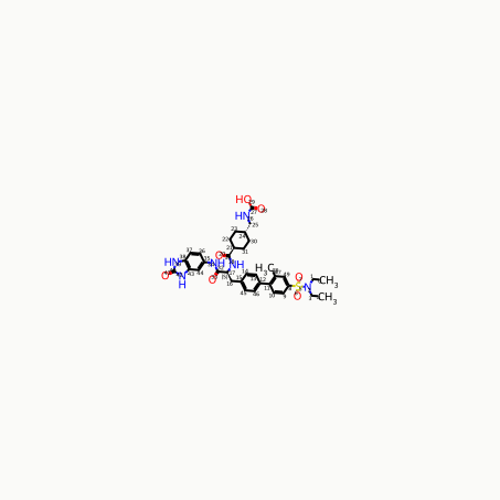 CCN(CC)S(=O)(=O)c1ccc(-c2ccc(C[C@H](NC(=O)[C@H]3CC[C@H](CNC(=O)O)CC3)C(=O)Nc3ccc4[nH]c(=O)[nH]c4c3)cc2)c(C)c1